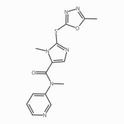 Cc1nnc(Sc2ncc(C(=O)N(C)c3cccnc3)n2C)o1